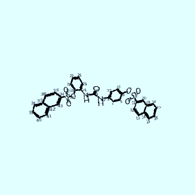 O=C(Nc1ccc(OS(=O)(=O)c2ccc3ccccc3c2)cc1)Nc1ccccc1OS(=O)(=O)c1ccc2ccccc2c1